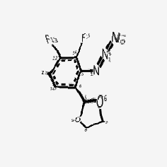 [N-]=[N+]=Nc1c(C2OCCO2)ccc(F)c1F